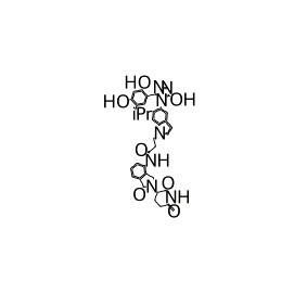 CC(C)c1cc(-c2nnc(O)n2-c2ccc3c(ccn3CCC(=O)Nc3cccc4c3CN(C3CCC(=O)NC3=O)C4=O)c2)c(O)cc1O